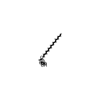 CCCCCCCCCCCCCCCCOC(C)OS(=O)(=O)O